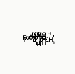 COc1cc(C)[nH]c(=O)c1CNC(=O)c1cc2c(-c3ccnc(Cl)c3)ccn2c([C@H](C)N2CCN(CC(F)(F)F)CC2)c1C